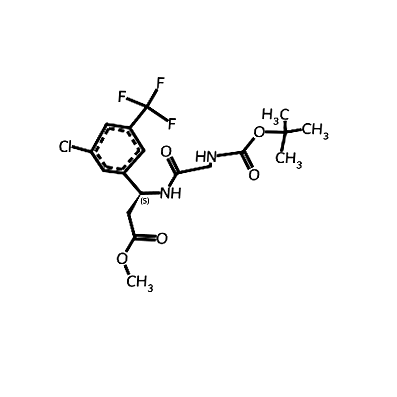 COC(=O)C[C@H](NC(=O)CNC(=O)OC(C)(C)C)c1cc(Cl)cc(C(F)(F)F)c1